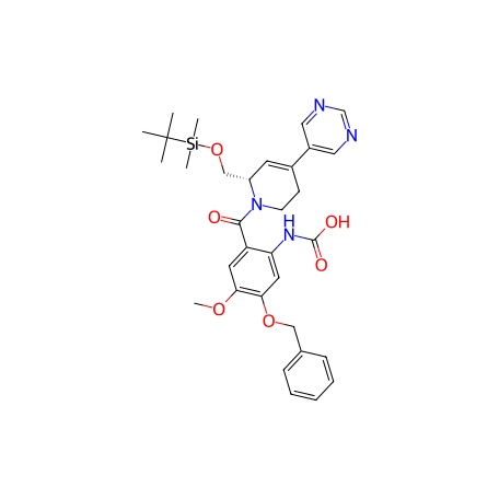 COc1cc(C(=O)N2CCC(c3cncnc3)=C[C@H]2CO[Si](C)(C)C(C)(C)C)c(NC(=O)O)cc1OCc1ccccc1